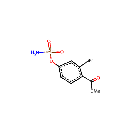 COC(=O)c1ccc(OS(N)(=O)=O)cc1C(C)C